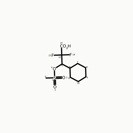 CS(=O)(=O)OC(C1CCCCC1)C(F)(F)C(=O)O